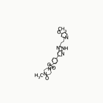 COc1ccnc(CCc2nc3cc(-c4ccc(S(=O)(=O)N5CCC(=O)N(C)CC5)cc4)cnc3[nH]2)c1